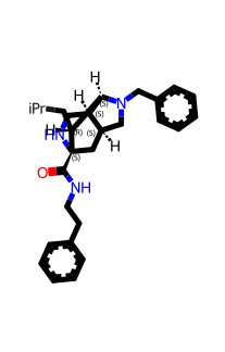 CC(C)C[C@@H]1[C@@H]2[C@@H]3CN[C@@]1(C(=O)NCCc1ccccc1)C[C@@H]3CN2Cc1ccccc1